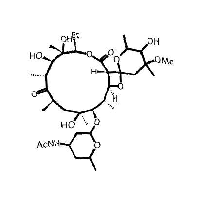 CC[C@H]1OC(=O)[C@H]2[C@@H](OC23CC(C)(OC)C(O)C(C)O3)[C@H](C)[C@@H](OC2CC(NC(C)=O)CC(C)O2)[C@@](C)(O)C[C@@H](C)C(=O)[C@H](C)[C@@H](O)[C@]1(C)O